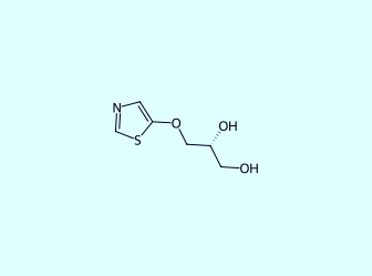 OC[C@@H](O)COc1cncs1